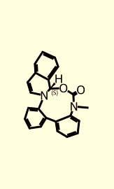 CN1C(=O)O[C@H]2c3ccccc3C=CN2c2ccccc2-c2ccccc21